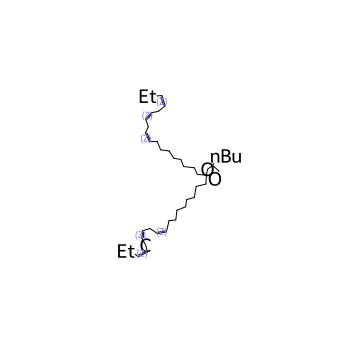 CC/C=C\C/C=C\C/C=C\CCCCCCCCC1(CCCCCCCC/C=C\C/C=C\C/C=C\CC)OCC(CCCC)O1